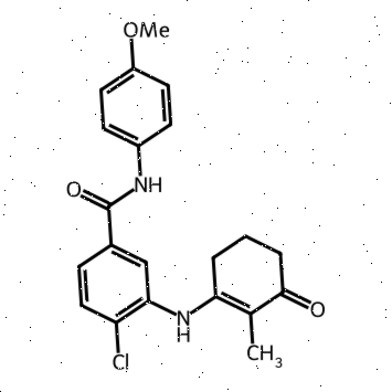 COc1ccc(NC(=O)c2ccc(Cl)c(NC3=C(C)C(=O)CCC3)c2)cc1